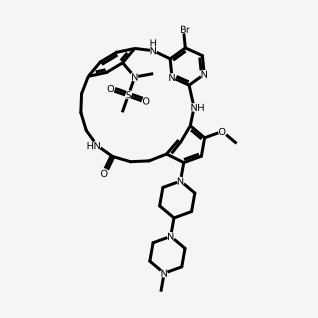 COc1cc(N2CCC(N3CCN(C)CC3)CC2)c2cc1Nc1ncc(Br)c(n1)Nc1ccc(cc1N(C)S(C)(=O)=O)CCCNC(=O)CC2